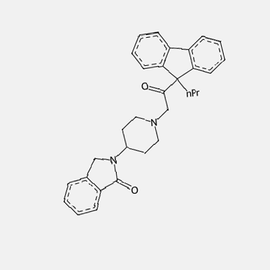 CCCC1(C(=O)CN2CCC(N3Cc4ccccc4C3=O)CC2)c2ccccc2-c2ccccc21